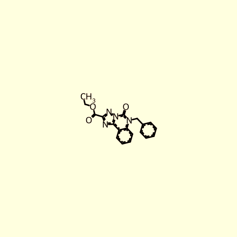 CCOC(=O)c1nc2c3ccccc3n(Cc3ccccc3)c(=O)n2n1